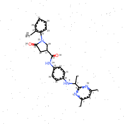 Cc1cc(C)nc(C(C)Nc2ccc(NC(=O)C3CC(=O)N(c4ccccc4C(C)C)C3)cc2)n1